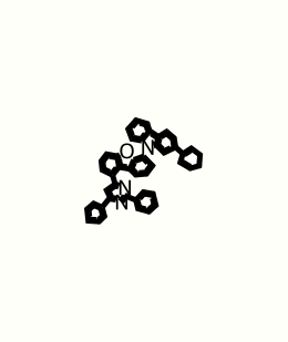 C1=CC(c2ccc3c4ccccc4n(-c4cccc5c4oc4cccc(-c6cc(-c7ccccc7)nc(-c7ccccc7)n6)c45)c3c2)=CCC1